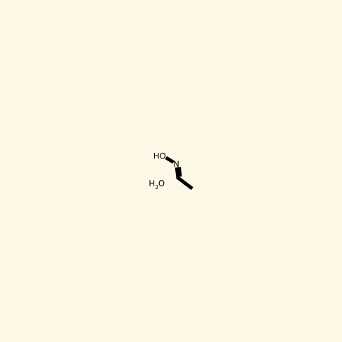 CC=NO.O